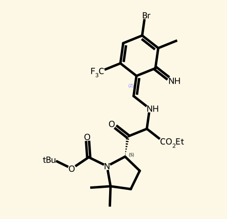 CCOC(=O)C(N/C=C1\C(=N)C(C)=C(Br)C=C1C(F)(F)F)C(=O)[C@@H]1CCC(C)(C)N1C(=O)OC(C)(C)C